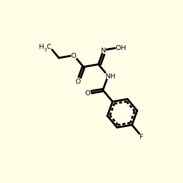 CCOC(=O)/C(=N/O)NC(=O)c1ccc(F)cc1